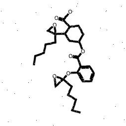 CCCCCC1(Oc2ccccc2C(=O)OC2CCC(C([O])=O)C(C3(CCCCC)CO3)C2)CO1